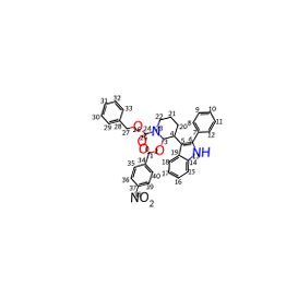 O=C(OC1C(c2c(-c3ccccc3)[nH]c3ccccc23)CCCN1C(=O)OCc1ccccc1)c1ccc([N+](=O)[O-])cc1